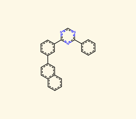 c1ccc(-c2ncnc(-c3cccc(-c4ccc5ccccc5c4)c3)n2)cc1